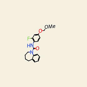 COCOc1ccc(NC(=O)N2CCCCc3ccccc32)c(F)c1